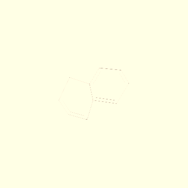 C1=CCc2ccccc2C=1